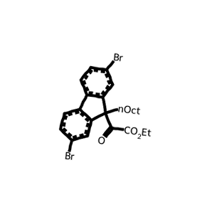 CCCCCCCCC1(C(=O)C(=O)OCC)c2cc(Br)ccc2-c2ccc(Br)cc21